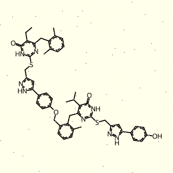 CCc1c(Cc2c(C)cccc2C)nc(SCc2cc(-c3ccc(OCc4cccc(C)c4Cc4nc(SCc5cc(-c6ccc(O)cc6)[nH]n5)[nH]c(=O)c4C(C)C)cc3)[nH]n2)[nH]c1=O